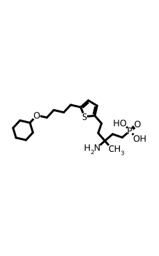 CC(N)(CCc1ccc(CCCCOC2CCCCC2)s1)CCP(=O)(O)O